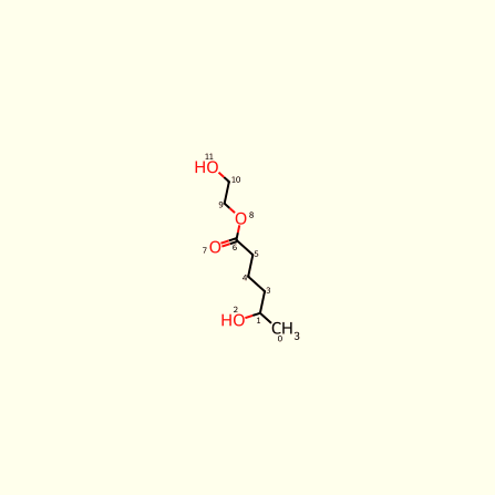 CC(O)CCCC(=O)OCCO